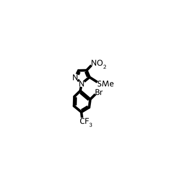 CSc1c([N+](=O)[O-])cnn1-c1ccc(C(F)(F)F)cc1Br